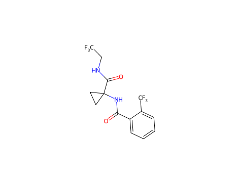 O=C(NC1(C(=O)NCC(F)(F)F)CC1)c1ccccc1C(F)(F)F